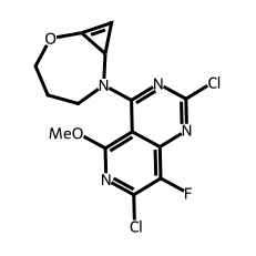 COc1nc(Cl)c(F)c2nc(Cl)nc(N3CCCOC4=CC43)c12